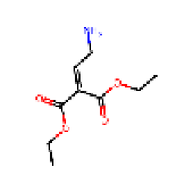 CCOC(=O)C(=CCN)C(=O)OCC